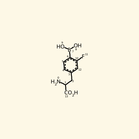 NC(Cc1ccc(B(O)O)c(F)c1)C(=O)O